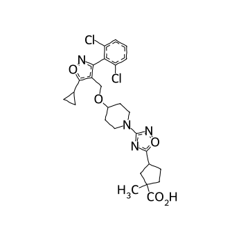 CC1(C(=O)O)CCC(c2nc(N3CCC(OCc4c(-c5c(Cl)cccc5Cl)noc4C4CC4)CC3)no2)C1